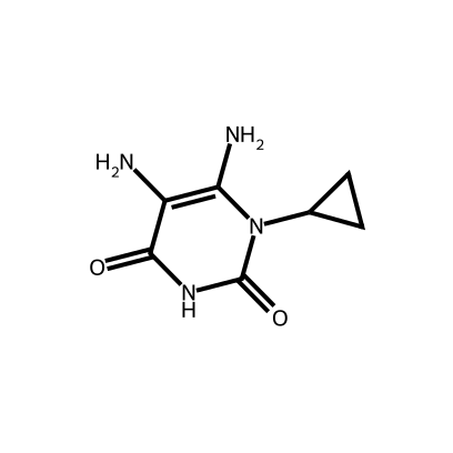 Nc1c(N)n(C2CC2)c(=O)[nH]c1=O